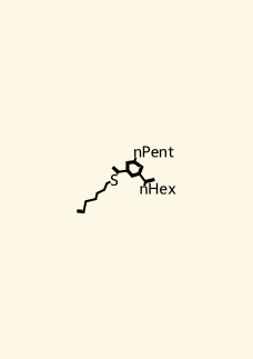 C=CCCCCCSC(=C)c1cc(CCCCC)cc(C(=C)CCCCCC)c1